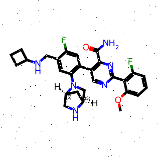 COc1cccc(F)c1-c1ncc(-c2cc(F)c(CNC3CCC3)cc2N2C[C@@H]3C[C@H]2CN3)c(C(N)=O)n1